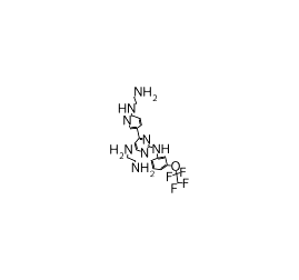 NCCN.NCCNc1ccc(-c2ccnc(Nc3cccc(OC(F)(F)C(F)F)c3)n2)cn1